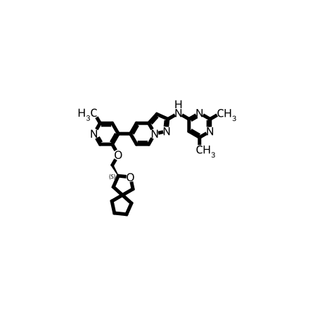 Cc1cc(-c2ccn3nc(Nc4cc(C)nc(C)n4)cc3c2)c(OC[C@@H]2CC3(CCCC3)CO2)cn1